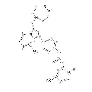 Nc1ncnn2c(CN3CCCOCC3)cc(-c3ccc(NC(=O)Nc4cc(C(F)(F)F)cc[n+]4[O-])cc3)c12